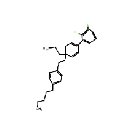 CCCCCc1ccc(CCC2(CCC)C=CC(c3cccc(F)c3F)=CC2)cc1